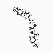 COc1ccc(C2(F)CCC(N3CC(NC(=O)CNC(=O)c4cccc(C(F)(F)F)c4)C3)CC2)cn1